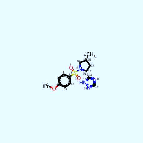 CC(C)Oc1ccc(S(=O)(=O)N2C[C@@H](C)C[C@@H]2c2ncn[nH]2)cc1